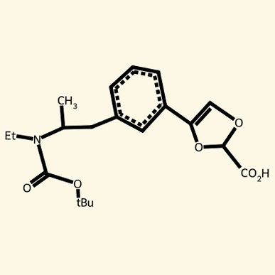 CCN(C(=O)OC(C)(C)C)C(C)Cc1cccc(C2=COC(C(=O)O)O2)c1